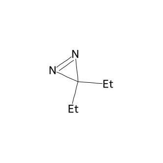 CCC1(CC)N=N1